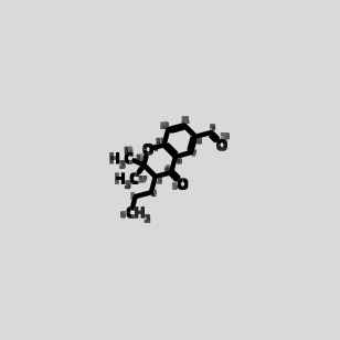 CCCC1C(=O)c2cc(C=O)ccc2OC1(C)C